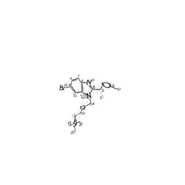 CO[C@H](C)c1nc2ccc(Br)cc2n1COCC[Si](C)(C)C